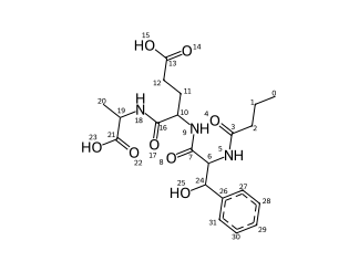 CCCC(=O)NC(C(=O)NC(CCC(=O)O)C(=O)NC(C)C(=O)O)C(O)c1ccccc1